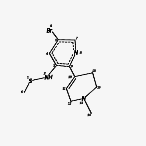 CSNc1cc(Br)cnc1C1=CCN(C)CC1